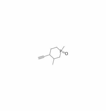 C#CC1CCP(C)(=O)CC1C